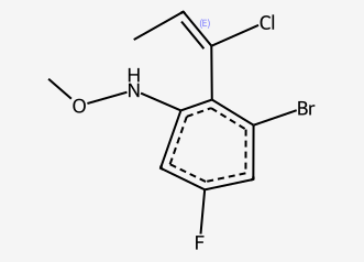 C/C=C(/Cl)c1c(Br)cc(F)cc1NOC